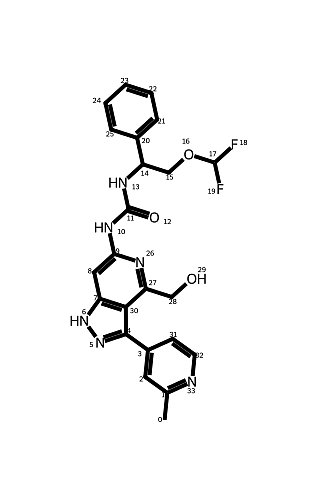 Cc1cc(-c2n[nH]c3cc(NC(=O)NC(COC(F)F)c4ccccc4)nc(CO)c23)ccn1